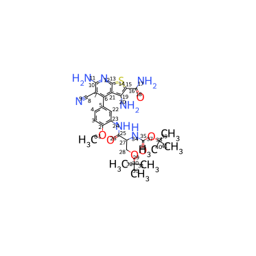 COc1ccc(-c2c(C#N)c(N)nc3sc(C(N)=O)c(N)c23)cc1NC(=O)C(COC(C)(C)C)NC(=O)OC(C)(C)C